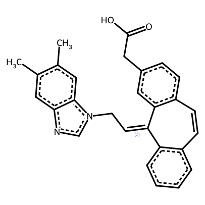 Cc1cc2ncn(C/C=C3/c4ccccc4C=Cc4ccc(CC(=O)O)cc43)c2cc1C